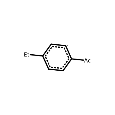 CCc1c[c]c(C(C)=O)cc1